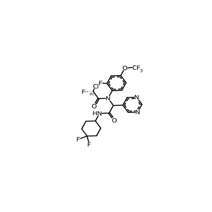 O=C(NC1CCC(F)(F)CC1)C(c1cncnc1)N(C(=O)[C@H](F)Cl)c1ccc(OC(F)(F)F)cc1F